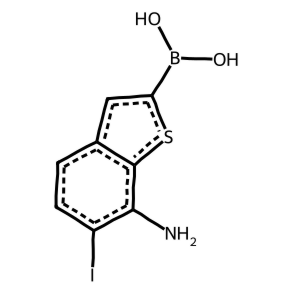 Nc1c(I)ccc2cc(B(O)O)sc12